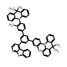 Cc1cc(-c2cc(-c3ccc(N4c5ccccc5C(C)(C)c5ccccc54)c(C)c3)cc(-c3ccnc4sc5ccccc5c34)c2)ccc1N1c2ccccc2C(C)(C)c2ccccc21